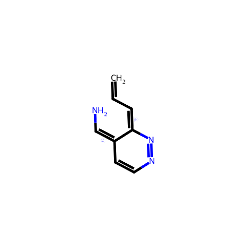 C=C/C=c1/nncc/c1=C/N